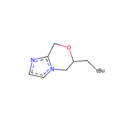 CC(C)(C)CC1Cn2ccnc2CO1